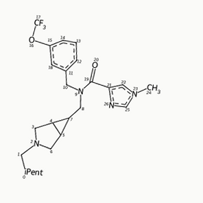 CCCC(C)CN1CC2C(C1)C2CN(Cc1cccc(OC(F)(F)F)c1)C(=O)c1cn(C)cn1